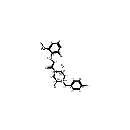 COc1cccc(F)c1OCC(=O)N1C[C@H](C)N(Cc2ccc(F)cc2)C[C@H]1C